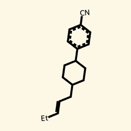 CCC=CCC1CCC(c2ccc(C#N)cc2)CC1